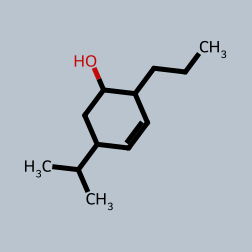 CCCC1C=CC(C(C)C)CC1O